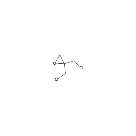 ClCC1(CCl)CO1